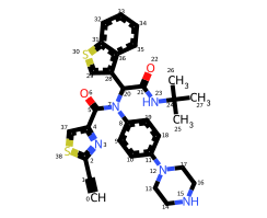 C#Cc1nc(C(=O)N(c2ccc(N3CCNCC3)cc2)C(C(=O)NC(C)(C)C)c2csc3ccccc23)cs1